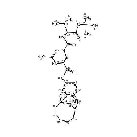 CC(=O)N[C@@H](CCC(=O)N[C@H](C(=O)OC(C)(C)C)C(C)C)C(=O)Oc1ccc2c(c1)[C@@]1(C)CCCCCC(C2)[C@@H]1N